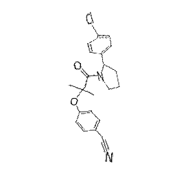 CC(C)(Oc1ccc(C#N)cc1)C(=O)N1CCCC1c1ccc(Cl)cc1